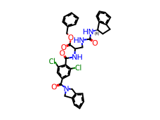 O=C(NCC(NC(=O)c1c(Cl)cc(C(=O)N2Cc3ccccc3C2)cc1Cl)C(=O)OCc1ccccc1)N[C@@H]1CCc2ccccc21